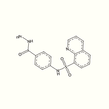 CCCNC(=O)c1ccc(NS(=O)(=O)c2cccc3cccnc23)cc1